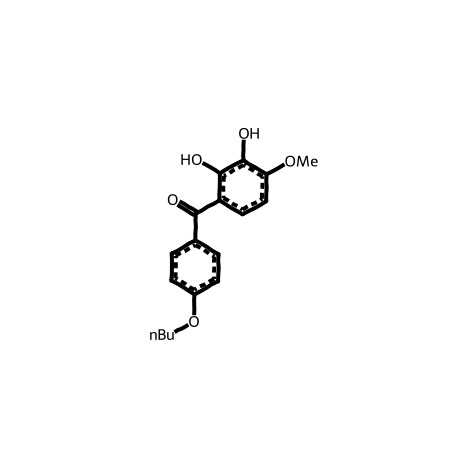 CCCCOc1ccc(C(=O)c2ccc(OC)c(O)c2O)cc1